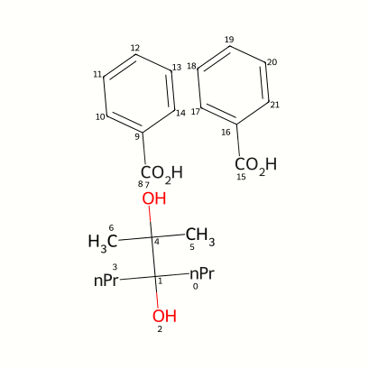 CCCC(O)(CCC)C(C)(C)O.O=C(O)c1ccccc1.O=C(O)c1ccccc1